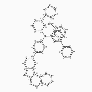 c1ccc(-c2cccc(N(c3ccc(-c4ccc5oc6ccc7ccccc7c6c5c4)cc3)c3cccc4c5ccccc5n(-c5ccccc5)c34)c2)cc1